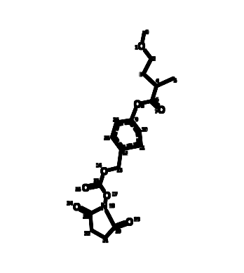 COCCC(C)C(=O)Oc1ccc(COC(=O)ON2C(=O)CCC2=O)cc1